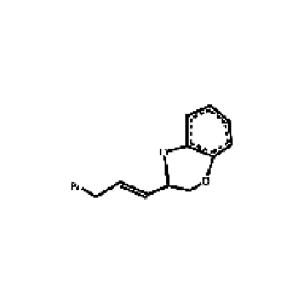 BrCC=CC1COc2ccccc2O1